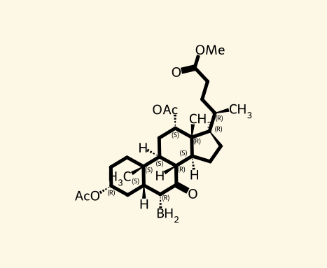 B[C@H]1C(=O)[C@@H]2[C@H](C[C@H](OC(C)=O)[C@]3(C)[C@@H]([C@H](C)CCC(=O)OC)CC[C@@H]23)[C@@]2(C)CC[C@@H](OC(C)=O)C[C@@H]12